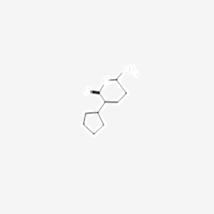 CC1CCC(C2CCCC2)C(=O)O1